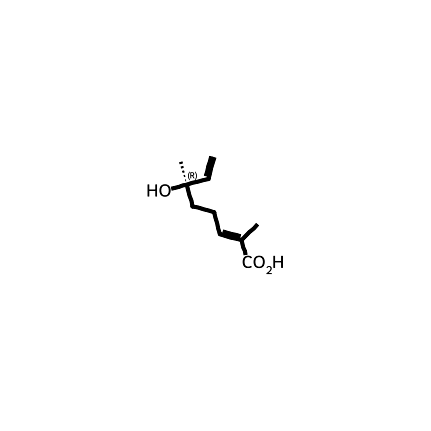 C=C[C@](C)(O)CCC=C(C)C(=O)O